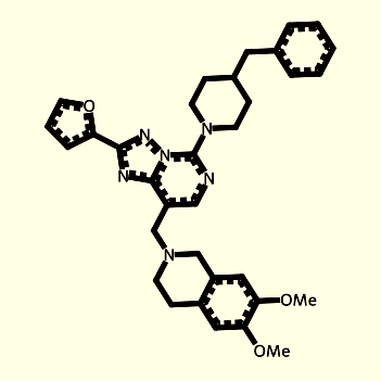 COc1cc2c(cc1OC)CN(Cc1cnc(N3CCC(Cc4ccccc4)CC3)n3nc(-c4ccco4)nc13)CC2